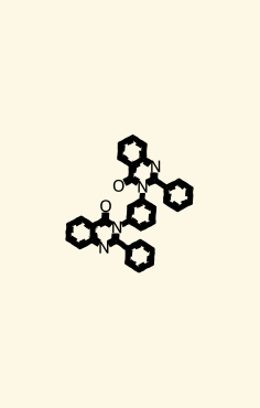 O=c1c2ccccc2nc(-c2ccccc2)n1-c1cccc(-n2c(-c3ccccc3)nc3ccccc3c2=O)c1